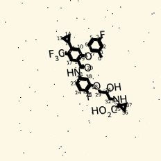 Cc1cc(F)ccc1Oc1cc(C2CC2)c(C(F)(F)F)cc1C(=O)Nc1ccc(F)c(OCC(O)CNC2(C(=O)O)CC2)c1